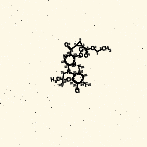 CCOC(=O)C1CC1C(=O)c1ncc(N(CC(C)(C)F)c2cc(Cl)c(F)cc2F)nc1OC